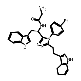 CCc1ccc(-n2c(CCc3c[nH]c4c3CCC=C4)nnc2[C@@H](Cc2c[nH]c3ccccc23)NC(=O)CN)cc1